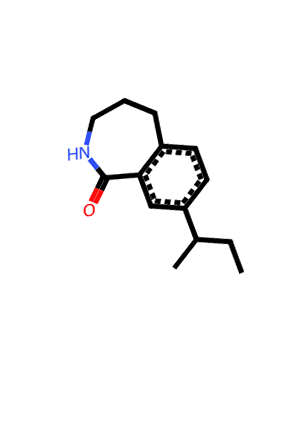 CCC(C)c1ccc2c(c1)C(=O)NCCC2